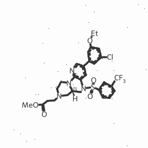 CCOc1cc(Cl)cc(-c2cnc3c(c2)N(S(=O)(=O)c2cccc(C(F)(F)F)c2)C[C@@H]2CN(CCC(=O)OC)CCN32)c1